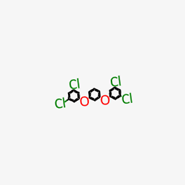 Clc1cc(Cl)cc(Oc2cccc(Oc3cc(Cl)cc(Cl)c3)c2)c1